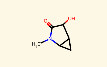 CN1C(=O)C(O)C2CC21